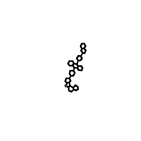 c1ccc2cc(-c3ccc(-c4c5ccccc5c(-c5ccc(-c6ccc7oc8ccc9ccccc9c8c7c6)cc5)c5ccccc45)cc3)ccc2c1